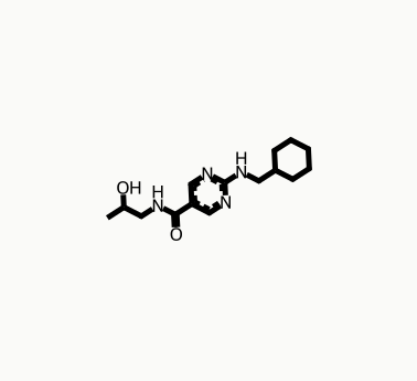 CC(O)CNC(=O)c1cnc(NCC2CCCCC2)nc1